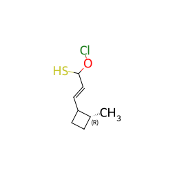 C[C@@H]1CCC1C=CC(S)OCl